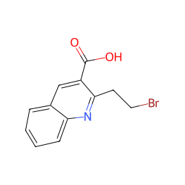 O=C(O)c1cc2ccccc2nc1CCBr